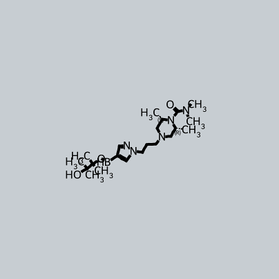 C[C@@H]1CN(CCCn2cc(BOC(C)(C)C(C)(C)O)cn2)C[C@H](C)N1C(=O)N(C)C